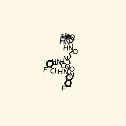 CN(C(=O)NCc1cccc(F)c1Cl)[C@@H](CCC(=O)NC[C@H](CO)NC(=O)OC(C)(C)C)COC(=O)Nc1cc2cc(F)ccc2cn1